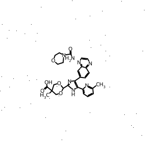 Cc1cccc(-c2[nH]c(C3OCC(C)(C(=O)O)CO3)nc2-c2ccc3nccnc3c2)n1.NC(=O)N1CCOCC1